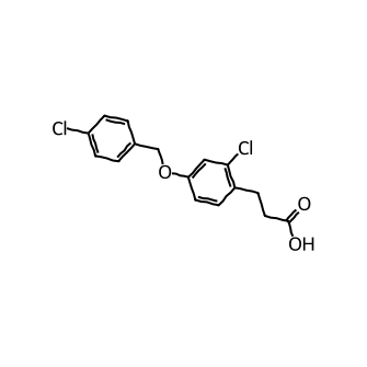 O=C(O)CCc1ccc(OCc2ccc(Cl)cc2)cc1Cl